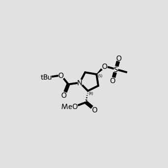 COC(=O)[C@H]1C[C@H](OS(C)(=O)=O)CN1C(=O)OC(C)(C)C